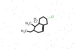 CCC1CC=C2C[C@@H](Cl)CC[C@]2(C)C1C